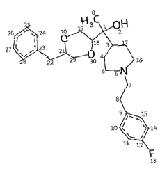 CC(O)(C1CCN(CCc2ccc(F)cc2)CC1)C1COC(Cc2ccccc2)CO1